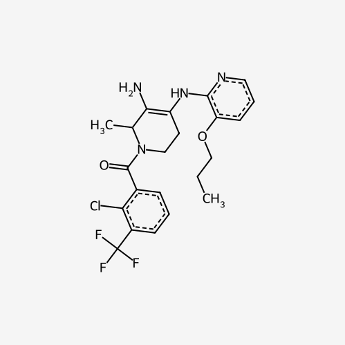 CCCOc1cccnc1NC1=C(N)C(C)N(C(=O)c2cccc(C(F)(F)F)c2Cl)CC1